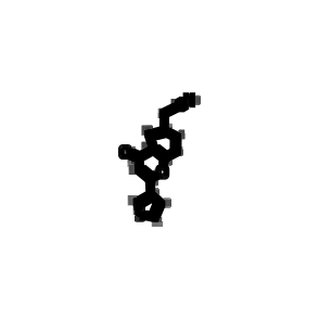 N#CCc1ccc2oc(-c3ccsc3)cc(=O)c2c1